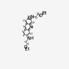 CCOCCNc1ccc2cc3ccc(NCCOCC)cc3nc2c1